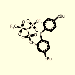 CC(C)(C)c1ccc([I+]c2ccc(C(C)(C)C)cc2)cc1.O=S(=O)([C-](S(=O)(=O)C(F)(F)F)S(=O)(=O)C(F)(F)F)C(F)(F)F